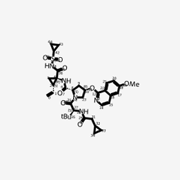 C=C[C@@H]1C[C@]1(NC(=O)[C@@H]1C[C@@H](Oc2nccc3cc(OC)ccc23)CN1C(=O)[C@@H](NC(=O)CC1CC1)C(C)(C)C)C(=O)NS(=O)(=O)C1CC1